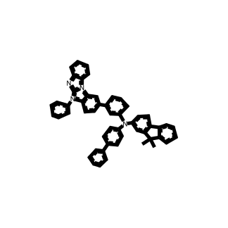 CC1(C)c2ccccc2-c2ccc(N(c3ccc(-c4ccccc4)cc3)c3cccc(-c4ccc5c(c4)n4c6ccccc6nc4n5-c4ccccc4)c3)cc21